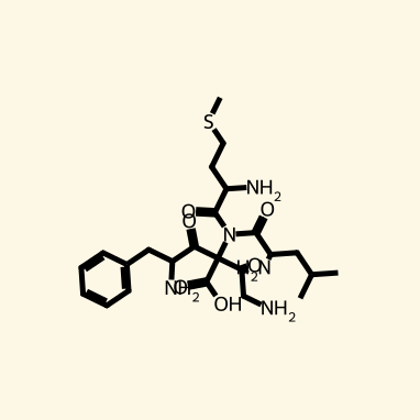 CSCCC(N)C(=O)N(C(=O)C(N)CC(C)C)C(C(=O)O)(C(=O)CN)C(=O)C(N)Cc1ccccc1